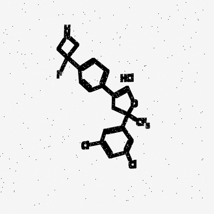 Cl.FC1(c2ccc(C3=COC(c4cc(Cl)cc(Cl)c4)(C(F)(F)F)C3)cc2)CNC1